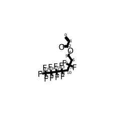 C=CC(=O)OCCC(F)(F)CC(F)(F)C(F)(F)C(F)(F)C(F)(F)F